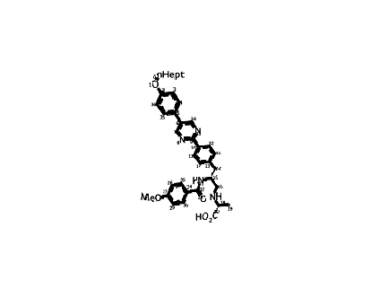 CCCCCCCOc1ccc(-c2cnc(-c3ccc(C[C@@H](CN[C@H](C)C(=O)O)NC(=O)c4ccc(OC)cc4)cc3)nc2)cc1